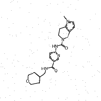 Cn1ccc2c1CCN(C(=O)Nc1ccc(C(=O)NCC3CCOCC3)cn1)C2